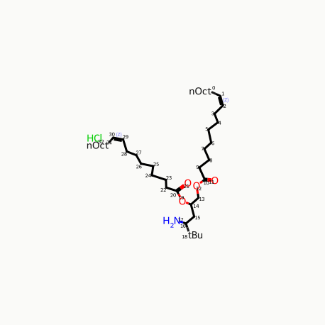 CCCCCCCC/C=C\CCCCCCCC(=O)OCC(CC(N)C(C)(C)C)OC(=O)CCCCCCC/C=C\CCCCCCCC.Cl